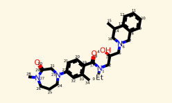 CCN(CC(O)CN1Cc2ccccc2C(C)C1)C(=O)c1ccc(N2CCCN(C)C(=O)C2)cc1C